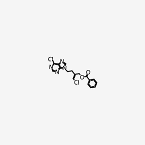 O=C(OCC(=CCl)CCn1cnc2c(Cl)ncnc21)c1ccccc1